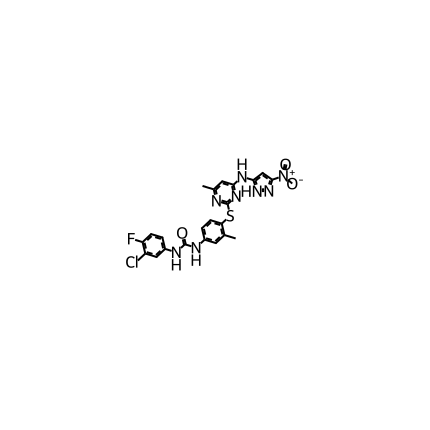 Cc1cc(Nc2cc([N+](=O)[O-])n[nH]2)nc(Sc2ccc(NC(=O)Nc3ccc(F)c(Cl)c3)cc2C)n1